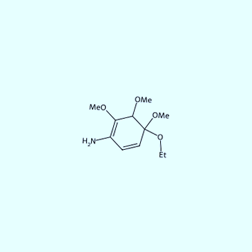 CCOC1(OC)C=CC(N)=C(OC)C1OC